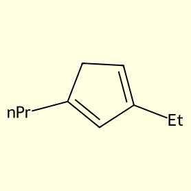 CCCC1=CC(CC)=CC1